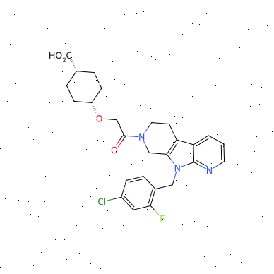 O=C(CO[C@H]1CC[C@@H](C(=O)O)CC1)N1CCc2c(n(Cc3ccc(Cl)cc3F)c3ncccc23)C1